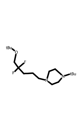 CC(C)(C)OCC(F)(F)CCCN1CCN(C(C)(C)C)CC1